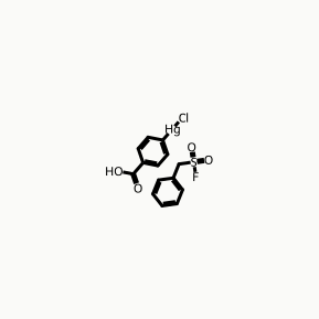 O=C(O)c1cc[c]([Hg][Cl])cc1.O=S(=O)(F)Cc1ccccc1